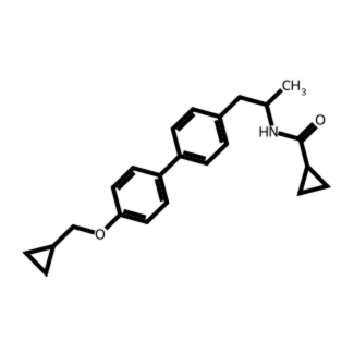 CC(Cc1ccc(-c2ccc(OCC3CC3)cc2)cc1)NC(=O)C1CC1